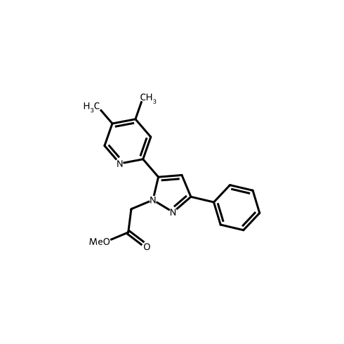 COC(=O)Cn1nc(-c2ccccc2)cc1-c1cc(C)c(C)cn1